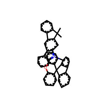 CC1(C)c2ccccc2-c2cc3c4ccccc4n(-c4cccc5c4C4(c6ccccc6Oc6ccccc64)c4ccccc4-5)c3cc21